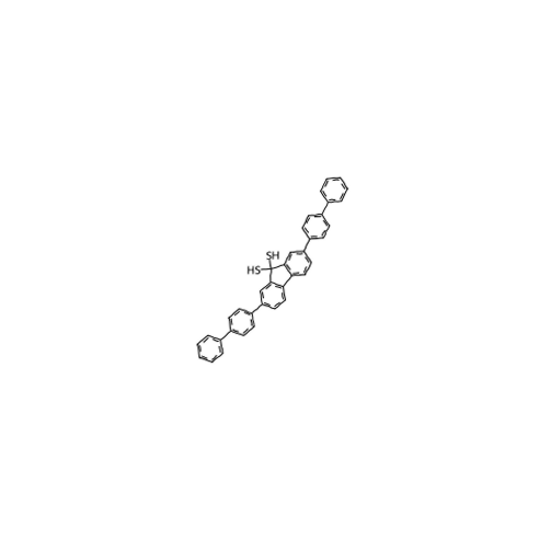 SC1(S)c2cc(-c3ccc(-c4ccccc4)cc3)ccc2-c2ccc(-c3ccc(-c4ccccc4)cc3)cc21